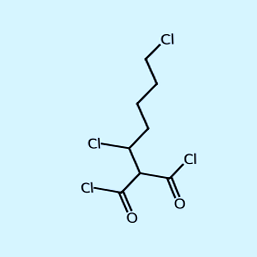 O=C(Cl)C(C(=O)Cl)C(Cl)CCCCCl